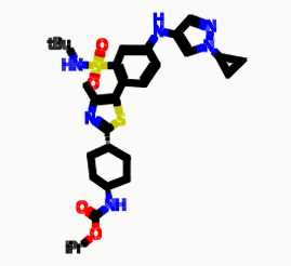 Cc1nc([C@H]2CC[C@H](NC(=O)OC(C)C)CC2)sc1-c1ccc(Nc2cnn(C3CC3)c2)cc1S(=O)(=O)NC(C)(C)C